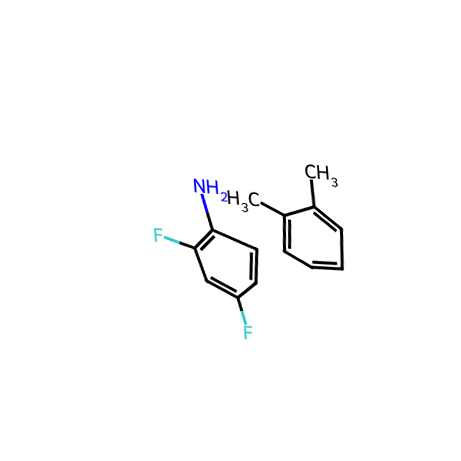 Cc1ccccc1C.Nc1ccc(F)cc1F